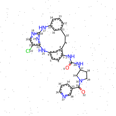 O=C(Nc1ccc2cc1CCc1cccc(c1)Nc1ncc(Cl)c(n1)N2)N[C@H]1CCN(C(=O)c2cccnc2)C1